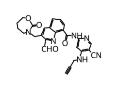 C#CCNc1cc(NC(=O)c2cccc3cc(CN4CCCCOC4=O)c(C=O)nc23)ncc1C#N